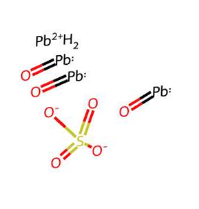 O=S(=O)([O-])[O-].[O]=[Pb].[O]=[Pb].[O]=[Pb].[PbH2+2]